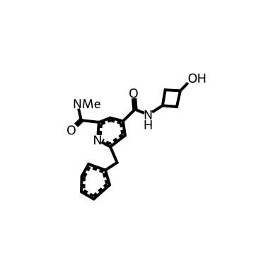 CNC(=O)c1cc(C(=O)NC2CC(O)C2)cc(Cc2ccccc2)n1